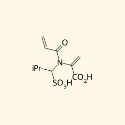 C=CC(=O)N(C(=C)C(=O)O)C(C(C)C)S(=O)(=O)O